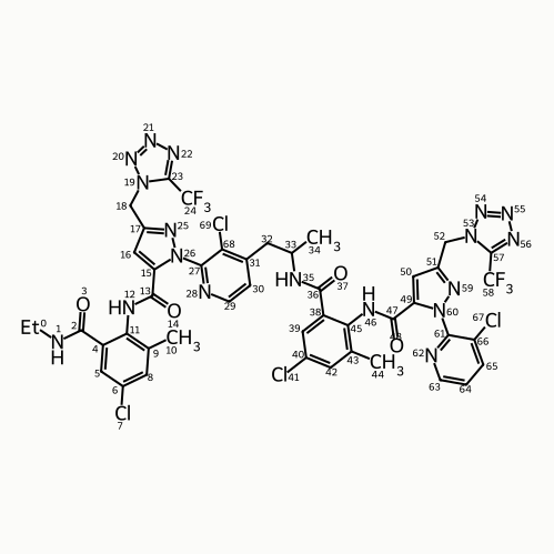 CCNC(=O)c1cc(Cl)cc(C)c1NC(=O)c1cc(Cn2nnnc2C(F)(F)F)nn1-c1nccc(CC(C)NC(=O)c2cc(Cl)cc(C)c2NC(=O)c2cc(Cn3nnnc3C(F)(F)F)nn2-c2ncccc2Cl)c1Cl